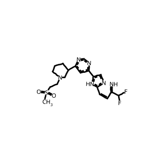 CS(=O)(=O)CCN1CCCC(c2cc(-c3cnc(/C=C\C(=N)C(F)F)[nH]3)ncn2)C1